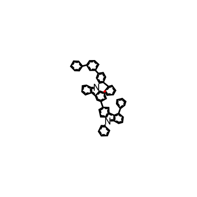 c1ccc(-c2cccc(-c3ccc(-c4ccccc4)c(-n4c5ccccc5c5cc(-c6ccc7c(c6)c6c(-c8ccccc8)cccc6n7-c6ccccc6)ccc54)c3)c2)cc1